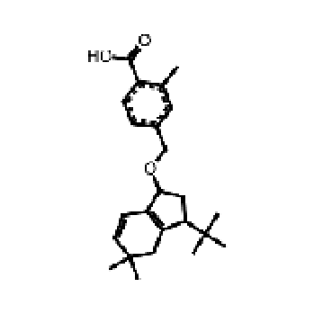 Cc1cc(COC2CC(C(C)(C)C)C3=C2C=CC(C)(C)C3)ccc1C(=O)O